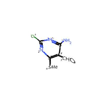 CSc1nc(Cl)nc(N)c1C=O